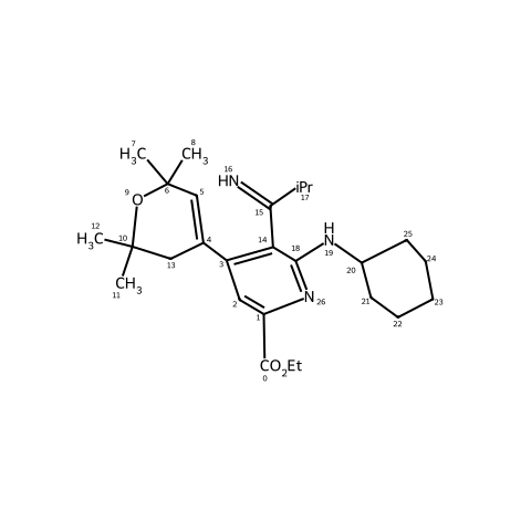 CCOC(=O)c1cc(C2=CC(C)(C)OC(C)(C)C2)c(C(=N)C(C)C)c(NC2CCCCC2)n1